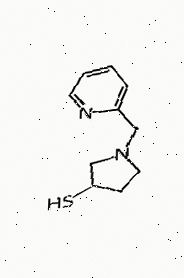 SC1CCN(Cc2ccccn2)C1